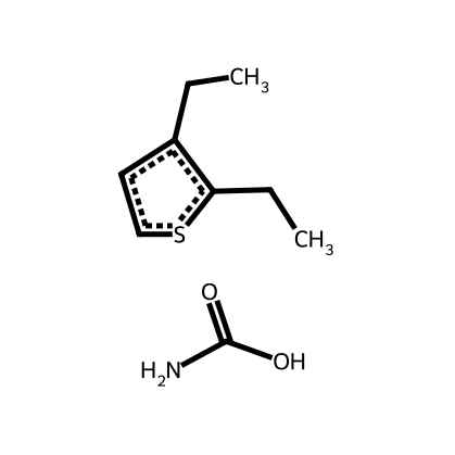 CCc1ccsc1CC.NC(=O)O